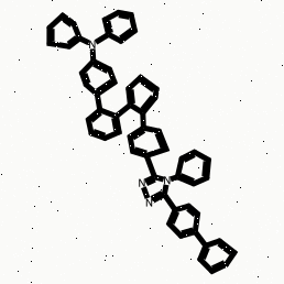 c1ccc(-c2ccc(-c3nnc(-c4ccc(-c5ccccc5-c5ccccc5-c5ccc(N(c6ccccc6)c6ccccc6)cc5)cc4)n3-c3ccccc3)cc2)cc1